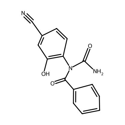 N#Cc1ccc(N(C(N)=O)C(=O)c2ccccc2)c(O)c1